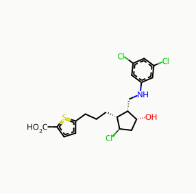 O=C(O)c1ccc(CCC[C@@H]2[C@H](CNc3cc(Cl)cc(Cl)c3)[C@H](O)C[C@H]2Cl)s1